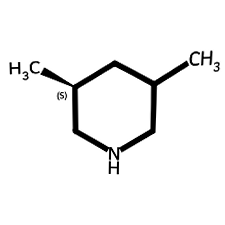 CC1CNC[C@@H](C)C1